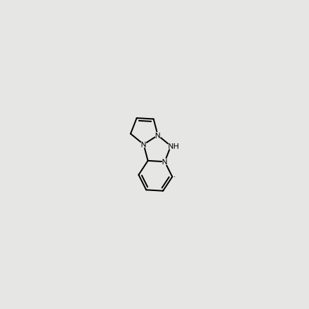 [C]1=CC=CC2N1NN1C=CCN21